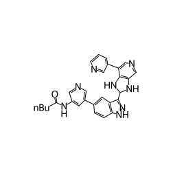 CCCCC(=O)Nc1cncc(-c2ccc3[nH]nc(C4Nc5cncc(-c6cccnc6)c5N4)c3c2)c1